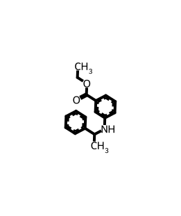 CCOC(=O)c1cccc(NC(C)c2ccccc2)c1